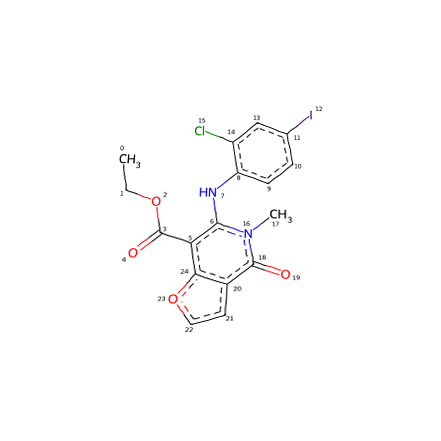 CCOC(=O)c1c(Nc2ccc(I)cc2Cl)n(C)c(=O)c2ccoc12